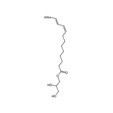 CCCCCC/C=C/C=C\CCCCCCCC(=O)OCC(O)CO